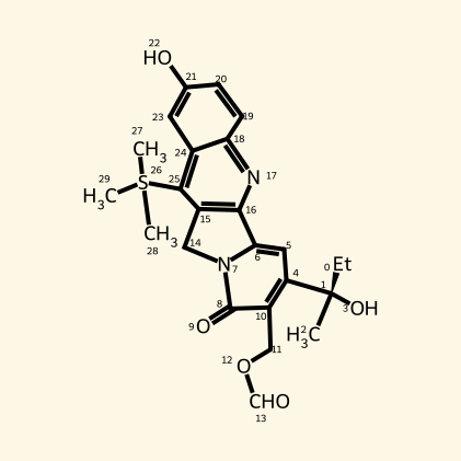 CC[C@](C)(O)c1cc2n(c(=O)c1COC=O)Cc1c-2nc2ccc(O)cc2c1S(C)(C)C